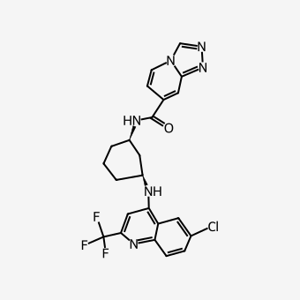 O=C(N[C@@H]1CCC[C@H](Nc2cc(C(F)(F)F)nc3ccc(Cl)cc23)C1)c1ccn2cnnc2c1